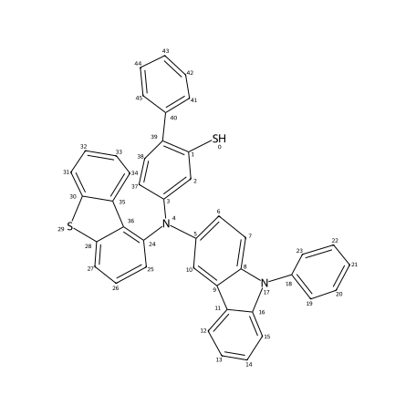 Sc1cc(N(c2ccc3c(c2)c2ccccc2n3-c2ccccc2)c2cccc3sc4ccccc4c23)ccc1-c1ccccc1